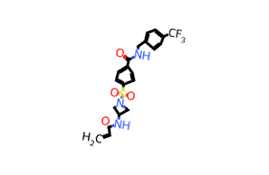 C=CC(=O)NC1CN(S(=O)(=O)c2ccc(C(=O)NCc3ccc(C(F)(F)F)cc3)cc2)C1